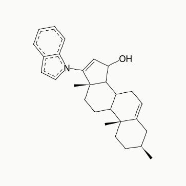 C[C@H]1CC[C@@]2(C)C(=CCC3C2CC[C@]2(C)C(n4ccc5ccccc54)=CC(O)C32)C1